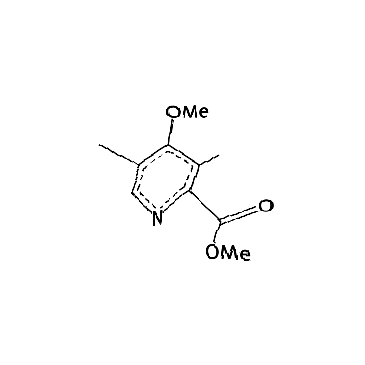 COC(=O)c1ncc(C)c(OC)c1C